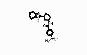 C[S+]([O-])c1ccc(C(=O)NC2CCCC(c3nc4ccccc4[nH]3)C2)cc1